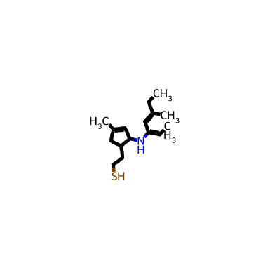 C/C=C(\C=C(/C)CC)NC1C=C(C)CC1CCS